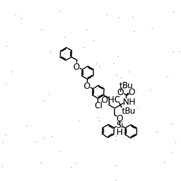 CC(C)(C)OC(=O)NC(C=O)(C(CCc1ccc(Oc2cccc(OCc3ccccc3)c2)cc1Cl)CO[SiH](c1ccccc1)c1ccccc1)C(C)(C)C